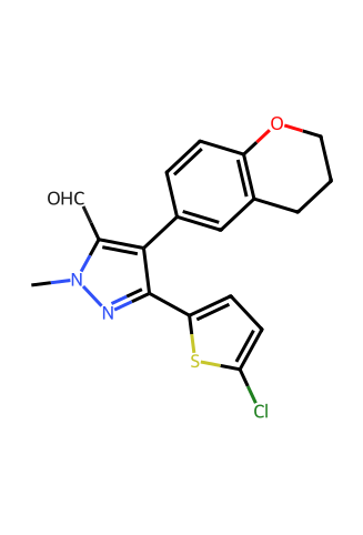 Cn1nc(-c2ccc(Cl)s2)c(-c2ccc3c(c2)CCCO3)c1C=O